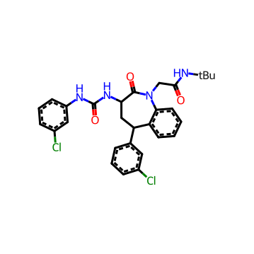 CC(C)(C)NC(=O)CN1C(=O)C(NC(=O)Nc2cccc(Cl)c2)CC(c2cccc(Cl)c2)c2ccccc21